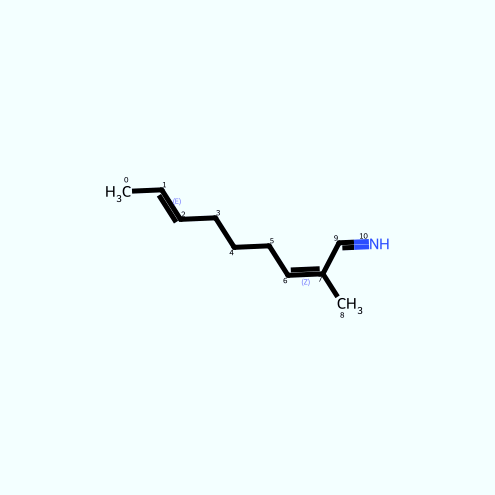 C/C=C/CCC/C=C(/C)C=N